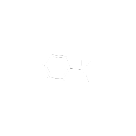 [CH2][SH](C)c1ccccc1